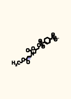 CCOC(=O)/C=C/N1CC(COS(=O)(=O)C2=CC=C([N+](=O)[O-])CC2)OC1=O